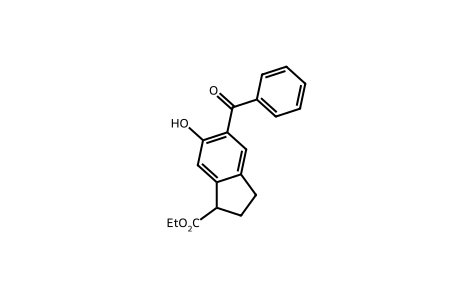 CCOC(=O)C1CCc2cc(C(=O)c3ccccc3)c(O)cc21